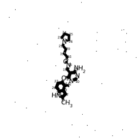 Cc1cc2c(F)c(Oc3ncnc(N)c3C=NOCCCCN3CCCC3)ccc2[nH]1